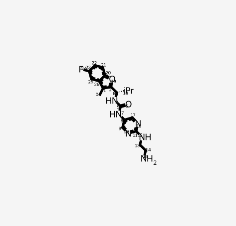 Cc1c([C@@H](NC(=O)Nc2cnc(NCCN)nc2)C(C)C)oc2ccc(F)cc12